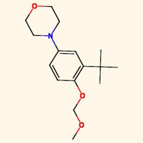 COCOc1ccc(N2CCOCC2)cc1C(C)(C)C